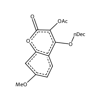 CCCCCCCCCCOc1c(OC(C)=O)c(=O)oc2cc(OC)ccc12